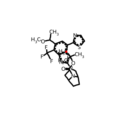 COC(C)c1cc(-c2nccs2)c2oc(N3CC4CCC(C3)N4C(=O)OC(C)(C)C)nc2c1C(F)(F)F